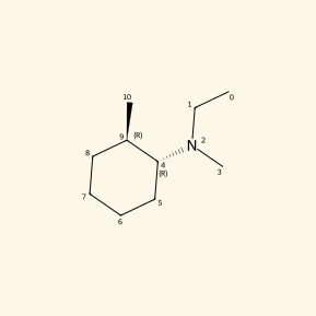 CCN(C)[C@@H]1CCCC[C@H]1C